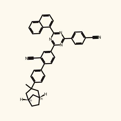 CC1(c2ccc(-c3ccc(-c4nc(-c5ccc(C#N)cc5)nc(-c5cccc6ccccc56)n4)cc3C#N)cc2)C[C@@H]2CC[C@@H](C2)C1